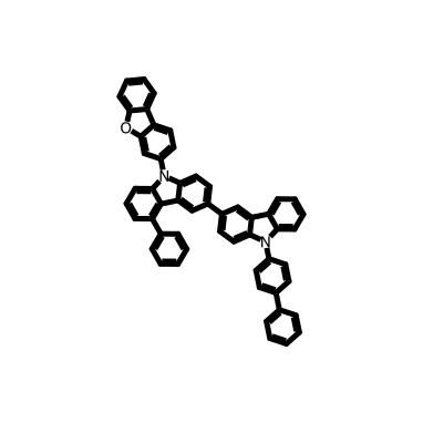 c1ccc(-c2ccc(-n3c4ccccc4c4cc(-c5ccc6c(c5)c5c(-c7ccccc7)cccc5n6-c5ccc6c(c5)oc5ccccc56)ccc43)cc2)cc1